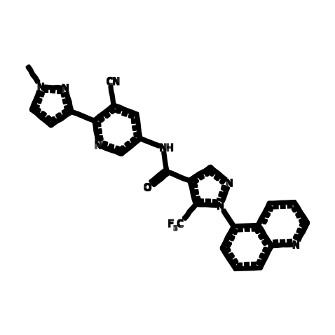 Cn1ccc(-c2ncc(NC(=O)c3cnn(-c4cccc5ncccc45)c3C(F)(F)F)cc2C#N)n1